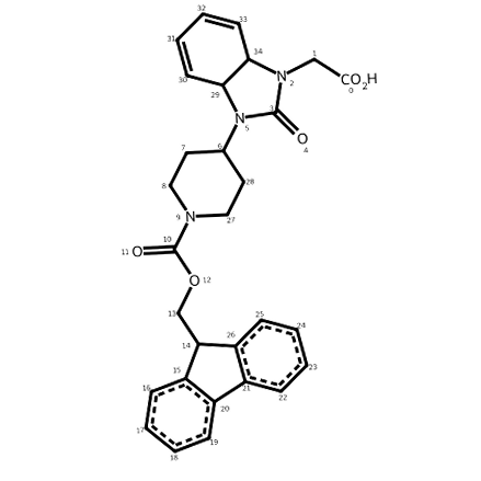 O=C(O)CN1C(=O)N(C2CCN(C(=O)OCC3c4ccccc4-c4ccccc43)CC2)C2C=CC=CC21